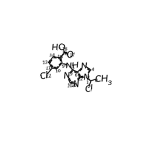 CC(Cl)n1cnc2c(Nc3cc(Cl)ccc3C(=O)O)ncnc21